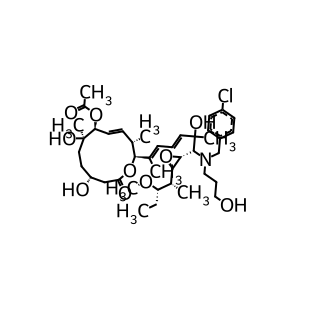 CC[C@H](OC)[C@@H](C)[C@H]1O[C@@H]1C(N(CCCO)Cc1ccc(Cl)cc1)C(C)(O)/C=C/C=C(\C)[C@H]1OC(=O)C[C@H](O)CC[C@@](C)(O)[C@@H](OC(C)=O)/C=C/[C@@H]1C